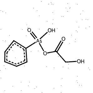 O=C(CO)O[As](=O)(O)c1ccccc1